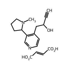 C#CC(O)Cc1ccncc1C1CCCN1C.O=C(O)C=CC(=O)O